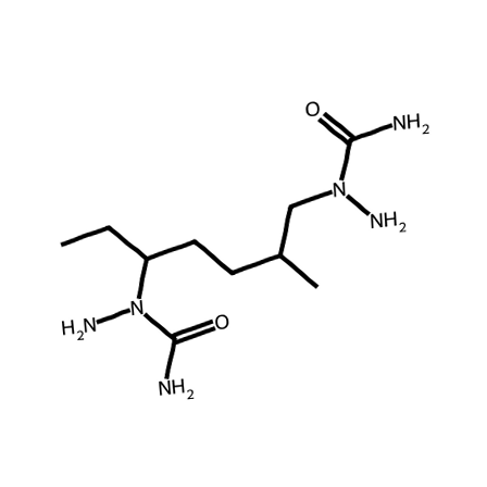 CCC(CCC(C)CN(N)C(N)=O)N(N)C(N)=O